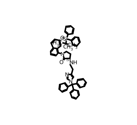 CC(C)(C)[Si](Oc1ccc2cccc(N3CC[C@H](NCCc4cn(C(c5ccccc5)(c5ccccc5)c5ccccc5)cn4)C3=O)c2c1)(c1ccccc1)c1ccccc1